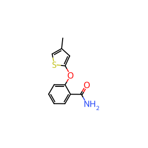 Cc1csc(Oc2ccccc2C(N)=O)c1